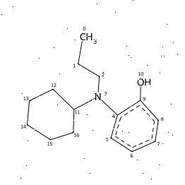 CCCN(c1ccccc1O)C1CCCCC1